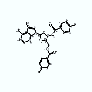 Cc1ccc(C(=O)OC[C@H]2OC(n3cc(I)c4c(Cl)ncnc43)CC2OC(=O)c2ccc(C)cc2)cc1